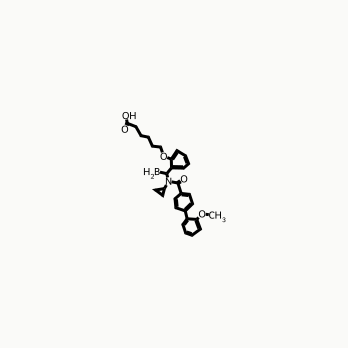 BC(c1ccccc1OCCCCCC(=O)O)N(C(=O)c1ccc(-c2ccccc2OC)cc1)C1CC1